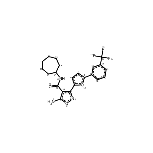 Nc1onc(-c2ccc(-c3cccc(C(F)(F)F)c3)o2)c1C(=O)NC1CCCCCC1